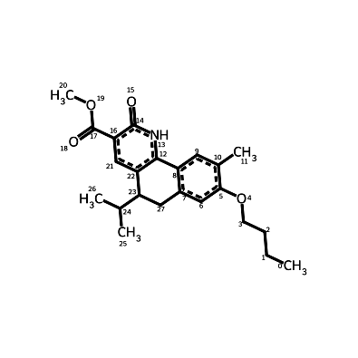 CCCCOc1cc2c(cc1C)-c1[nH]c(=O)c(C(=O)OC)cc1C(C(C)C)C2